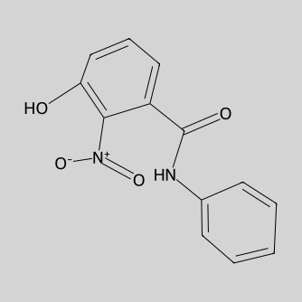 O=C(Nc1ccccc1)c1cccc(O)c1[N+](=O)[O-]